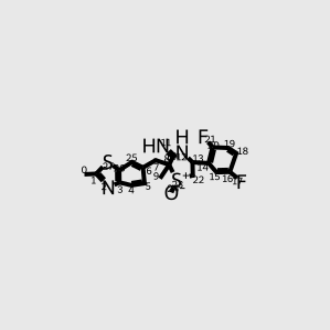 Cc1nc2ccc(CC3(C)C(=N)NC(c4cc(F)ccc4F)C[S+]3[O-])cc2s1